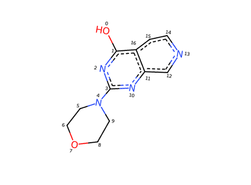 Oc1nc(N2CCOCC2)nc2cnccc12